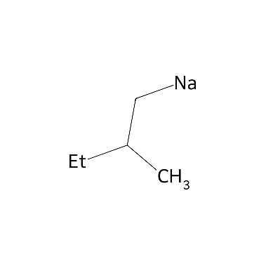 [CH2]CC(C)[CH2][Na]